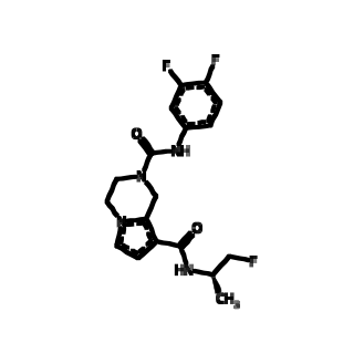 C[C@H](CF)NC(=O)c1ccn2c1CN(C(=O)Nc1ccc(F)c(F)c1)CC2